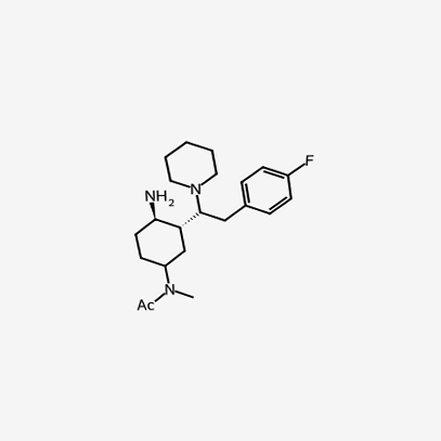 CC(=O)N(C)C1CC[C@@H](N)[C@H](C(Cc2ccc(F)cc2)N2CCCCC2)C1